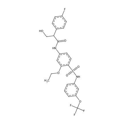 CCOc1cc(NC(=O)C(CO)c2ccc(F)cc2)ccc1S(=O)(=O)Nc1cccc(OC(F)(F)F)c1